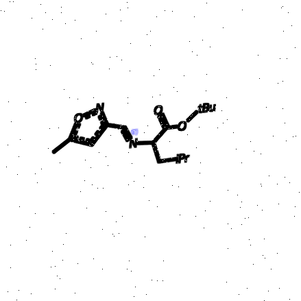 Cc1cc(/C=N/C(CC(C)C)C(=O)OC(C)(C)C)no1